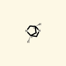 C1[N][C@@H]2C[N][C@H]1C2